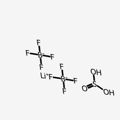 F[B-](F)(F)F.F[B-](F)(F)F.O=S(O)O.[Li+]